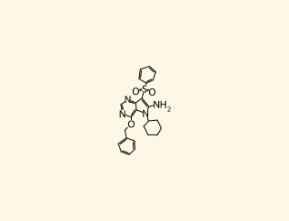 Nc1c(S(=O)(=O)c2ccccc2)c2ncnc(OCc3ccccc3)c2n1C1CCCCC1